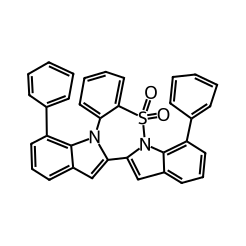 O=S1(=O)c2ccccc2-n2c(cc3cccc(-c4ccccc4)c32)-c2cc3cccc(-c4ccccc4)c3n21